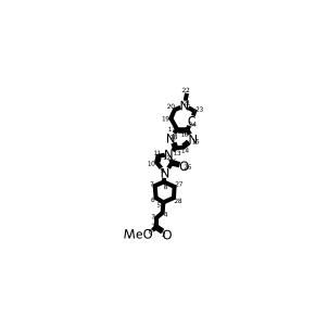 COC(=O)CCC1CCC(n2ccn(-c3cnc4c(n3)CCN(C)CC4)c2=O)CC1